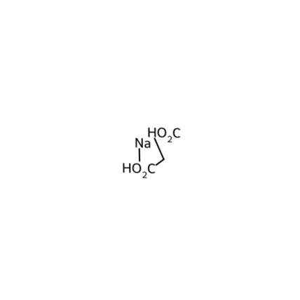 O=C(O)CC(=O)O.[CH3][Na]